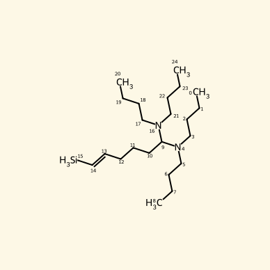 CCCCN(CCCC)C(CCCC=C[SiH3])N(CCCC)CCCC